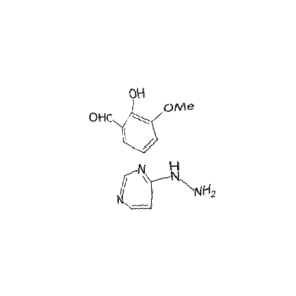 COc1cccc(C=O)c1O.NNc1ccncn1